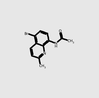 CC(=O)Nc1ccc(Br)c2ccc(C)nc12